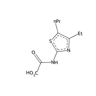 CCCc1sc(NC(=O)C(=O)O)nc1CC